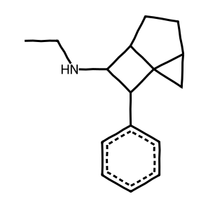 CCNC1C2CCC3CC32C1c1ccccc1